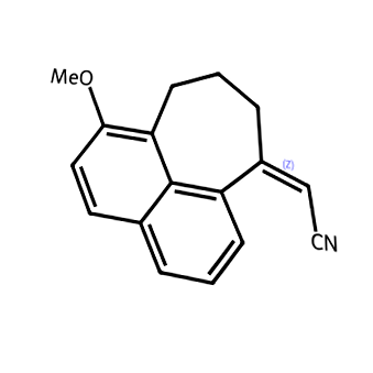 COc1ccc2cccc3c2c1CCC/C3=C/C#N